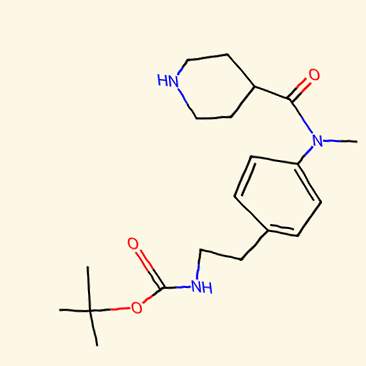 CN(C(=O)C1CCNCC1)c1ccc(CCNC(=O)OC(C)(C)C)cc1